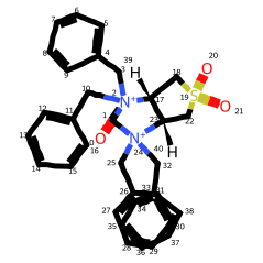 O=C1[N+](Cc2ccccc2)(Cc2ccccc2)[C@@H]2CS(=O)(=O)C[C@@H]2[N+]1(Cc1ccccc1)Cc1ccccc1